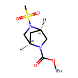 CC(C)(C)OC(=O)N1C[C@H]2C[C@@H]1CN2S(C)(=O)=O